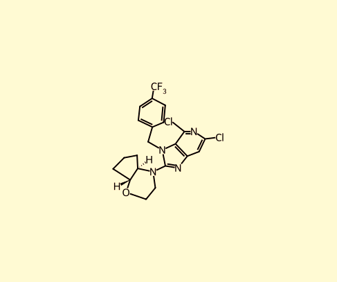 FC(F)(F)c1ccc(Cn2c(N3CCO[C@@H]4CCC[C@H]43)nc3cc(Cl)nc(Cl)c32)cc1